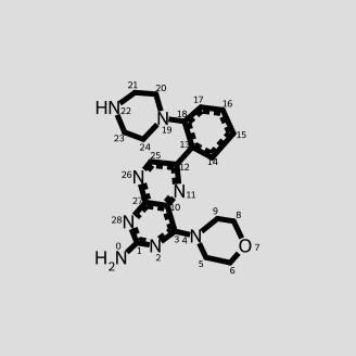 Nc1nc(N2CCOCC2)c2nc(-c3ccccc3N3CCNCC3)cnc2n1